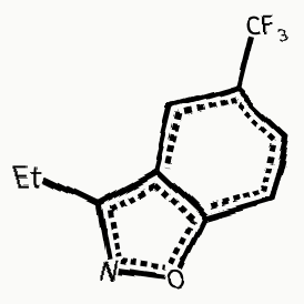 CCc1noc2ccc(C(F)(F)F)cc12